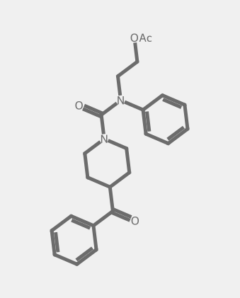 CC(=O)OCCN(C(=O)N1CCC(C(=O)c2ccccc2)CC1)c1ccccc1